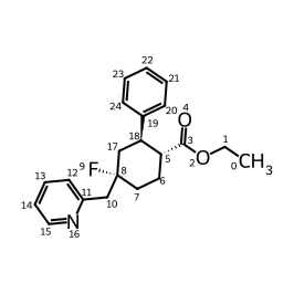 CCOC(=O)[C@@H]1CC[C@@](F)(Cc2ccccn2)C[C@H]1c1ccccc1